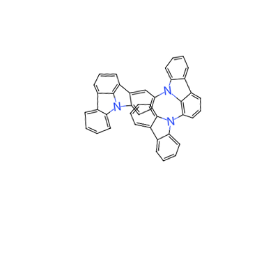 c1ccc2c(c1)c1ccccc1n2-c1cccc2c3ccccc3n(-c3ccc4c(c3)c3cccc5c6ccccc6n4c53)c12